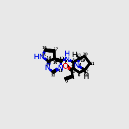 C=CC(=O)N1[C@H]2CCC(Nc3ncnc4[nH]ccc34)[C@@H]1CC2